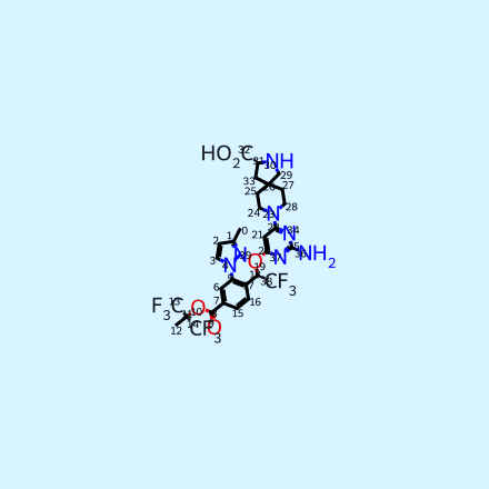 Cc1ccn(-c2cc(C(=O)OC(C)(C(F)(F)F)C(F)(F)F)ccc2[C@@H](Oc2cc(N3CCC4(CC3)CN[C@H](C(=O)O)C4)nc(N)n2)C(F)(F)F)n1